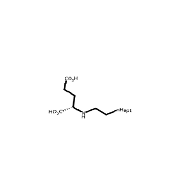 CCCCCCCCCN[C@@H](CCC(=O)O)C(=O)O